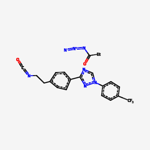 CCC(=O)N=[N+]=[N-].O=C=NCCc1ccc(-c2ncn(-c3ccc(C(F)(F)F)cc3)n2)cc1